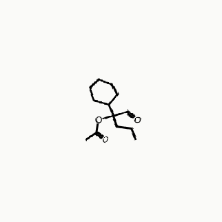 CCCC([C]=O)(OC(C)=O)C1CCCCC1